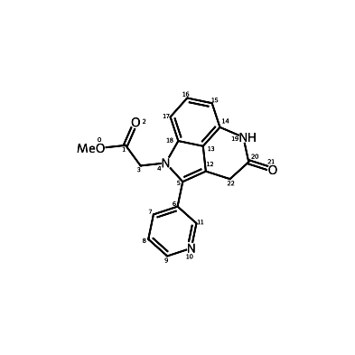 COC(=O)Cn1c(-c2cccnc2)c2c3c(cccc31)NC(=O)C2